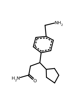 NCc1ccc(C(CC(N)=O)C2CCCC2)cc1